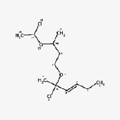 CCC=CC(C)(Cl)OCCC(C)OC(C)Cl